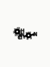 N#Cc1ccc(CNN(Cl)c2ccccc2)cc1